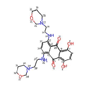 O=C1c2c(O)ccc(O)c2C(=O)c2c(NCCN3CCCOC3)ccc(NCCN3CCCOC3)c21